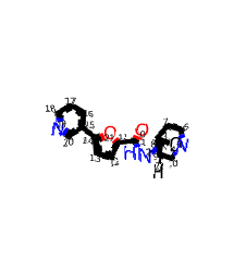 O=C(N[C@H]1CN2CCC1CC2)c1ccc(-c2cccnc2)o1